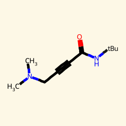 CN(C)CC#CC(=O)NC(C)(C)C